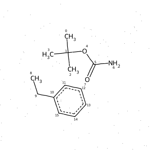 CC(C)(C)OC(N)=O.CCc1ccccc1